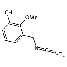 C=C=NCc1cccc(C)c1OC